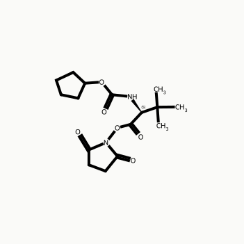 CC(C)(C)[C@H](NC(=O)OC1CCCC1)C(=O)ON1C(=O)CCC1=O